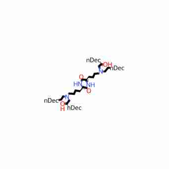 CCCCCCCCCCCCN(CCCC[C@H]1NC(=O)[C@@H](CCCCN(CCCCCCCCCCCC)C[C@@H](O)CCCCCCCCCC)NC1=O)C[C@@H](O)CCCCCCCCCC